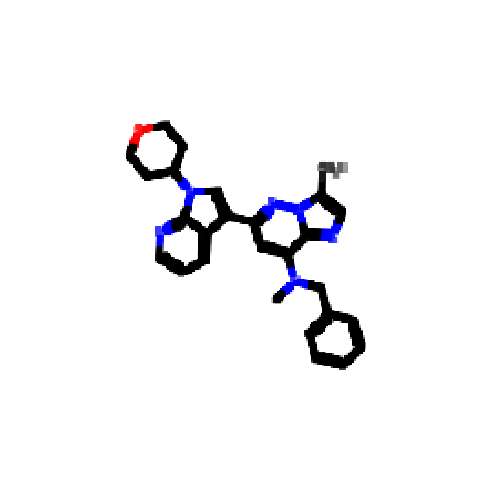 CN(Cc1ccccc1)c1cc(-c2cn(C3CCOCC3)c3ncccc23)nn2c(C(=O)O)cnc12